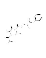 CC(N)C(=O)NC(C)C(=O)N(C(=O)CCC(O)C(N)Cc1ccccc1)C(C(=O)O)C(C)C